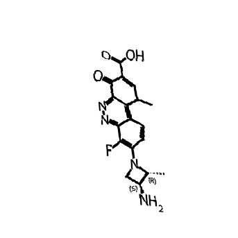 CC1C=C(C(=O)O)C(=O)c2nnc3c(F)c(N4C[C@H](N)[C@H]4C)ccc3c21